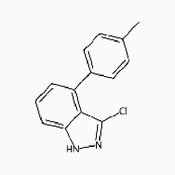 Cc1ccc(-c2cccc3[nH]nc(Cl)c23)cc1